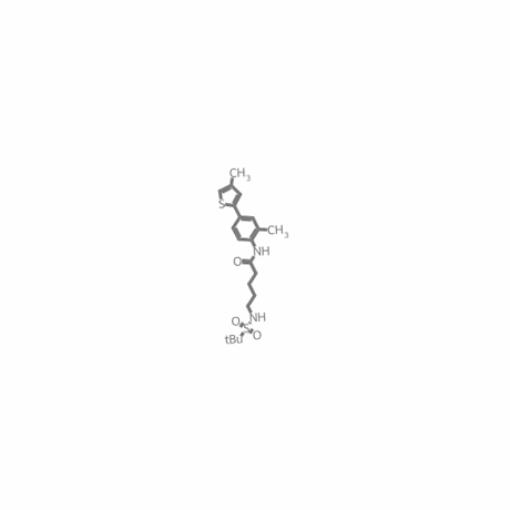 Cc1csc(-c2ccc(NC(=O)CCCCNS(=O)(=O)C(C)(C)C)c(C)c2)c1